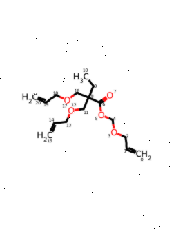 C=CCOCOC(=O)C(CC)(COCC=C)COCC=C